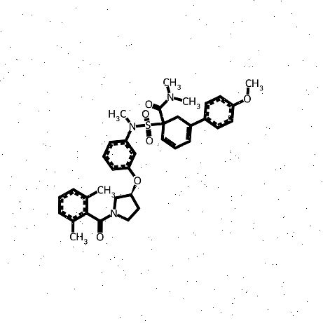 COc1ccc(C2=CC=CC(C(=O)N(C)C)(S(=O)(=O)N(C)c3cccc(O[C@H]4CCN(C(=O)c5c(C)cccc5C)C4)c3)C2)cc1